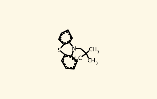 CC(C)(C)CN1c2ccccc2Sc2ccccc21